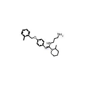 Cc1ccccc1COc1ccc(/N=C(\NCCCN)N2CCCCC2C)cc1